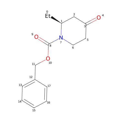 CC[C@H]1CC(=O)CCN1C(=O)OCc1ccccc1